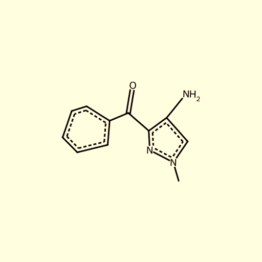 Cn1cc(N)c(C(=O)c2ccccc2)n1